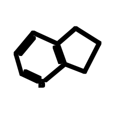 b1cccc2c1CCC2